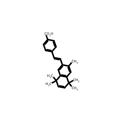 Cc1cc2c(cc1C=Cc1ccc(C(=O)O)cc1)C(C)(C)C=CC2(C)C